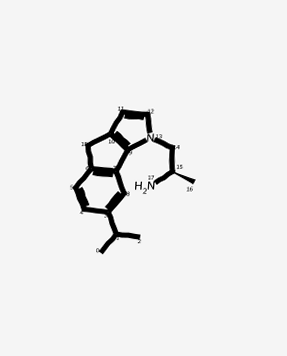 CC(C)c1ccc2c(c1)-c1c(ccn1C[C@@H](C)N)C2